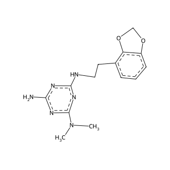 CN(C)c1nc(N)nc(NCCc2cccc3c2OCO3)n1